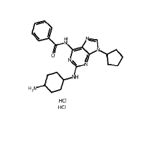 Cl.Cl.NC1CCC(Nc2nc(NC(=O)c3ccccc3)c3ncn(C4CCCC4)c3n2)CC1